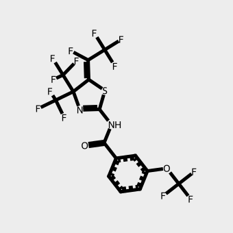 O=C(NC1=NC(C(F)(F)F)(C(F)(F)F)/C(=C(\F)C(F)(F)F)S1)c1cccc(OC(F)(F)F)c1